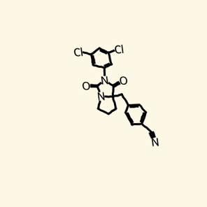 N#Cc1ccc(CC23CCCN2C(=O)N(c2cc(Cl)cc(Cl)c2)C3=O)cc1